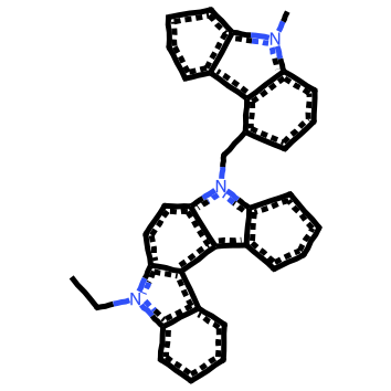 CCn1c2ccccc2c2c3c4ccccc4n(Cc4cccc5c4c4ccccc4n5C)c3ccc21